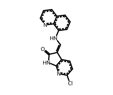 O=C1Nc2nc(Cl)ccc2C1=CNc1cccc2cccnc12